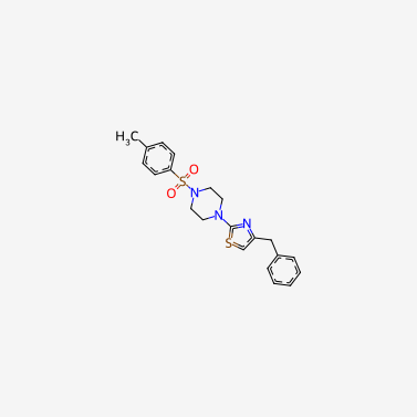 Cc1ccc(S(=O)(=O)N2CCN(c3nc(Cc4ccccc4)cs3)CC2)cc1